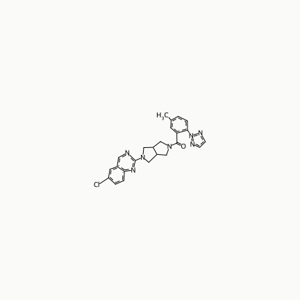 Cc1ccc(-n2nccn2)c(C(=O)N2CC3CN(c4ncc5cc(Cl)ccc5n4)CC3C2)c1